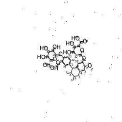 COc1cc(CC(C)C(C)Cc2ccc(O[C@@H]3O[C@H](C(=O)O)[C@@H](O)[C@H](O)[C@H]3O)c(OC)c2)ccc1O[C@H]1C[C@@H](O)[C@H](O)[C@@H](C(=O)O)O1